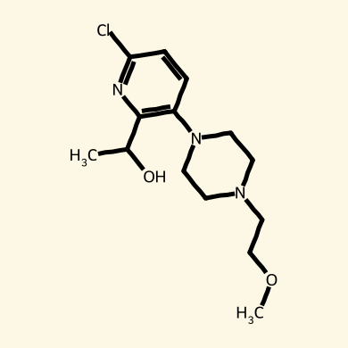 COCCN1CCN(c2ccc(Cl)nc2C(C)O)CC1